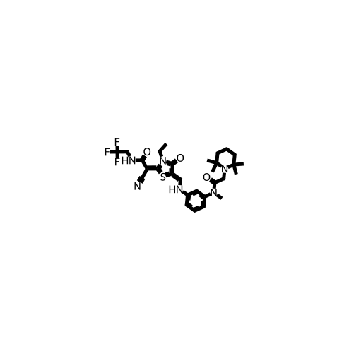 CCn1c(=C(C#N)C(=O)NCC(F)(F)F)sc(=CNc2cccc(N(C)C(=O)CN3C(C)(C)CCCC3(C)C)c2)c1=O